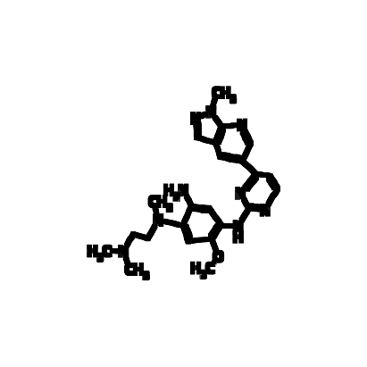 COc1cc(N(C)CCN(C)C)c(N)cc1Nc1nccc(-c2cnc3c(cnn3C)c2)n1